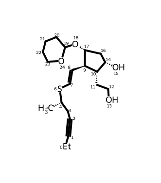 CCC#CC[C@H](C)S/C=C/[C@@H]1[C@@H](CCO)[C@@H](O)C[C@H]1OC1CCCCO1